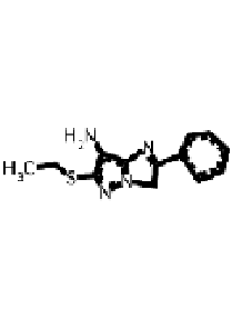 CCSc1nn2c(c1N)N=C(c1ccccc1)C2